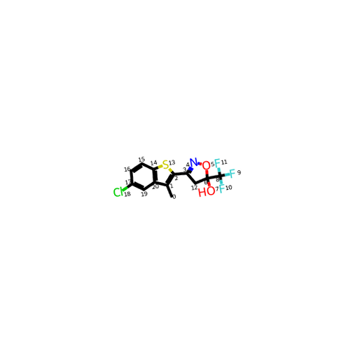 Cc1c(C2=NOC(O)(C(F)(F)F)C2)sc2ccc(Cl)cc12